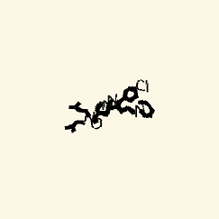 CC(C)CCN(CCC(C)C)C(=O)c1ccn2nc(-c3ccc(Cl)cc3)c(C=CCN3CCCCC3)c2c1